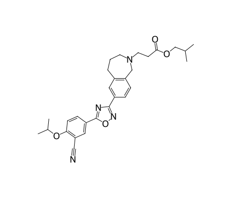 CC(C)COC(=O)CCN1CCCc2cc(-c3noc(-c4ccc(OC(C)C)c(C#N)c4)n3)ccc2C1